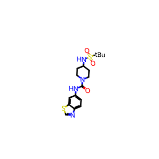 CC(C)(C)S(=O)(=O)NC1CCN(C(=O)Nc2ccc3ncsc3c2)CC1